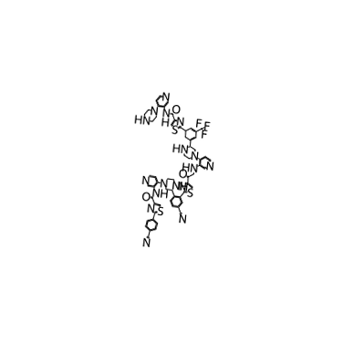 N#Cc1ccc(-c2nc(C(=O)Nc3cnccc3N3CCNC(c4ccc(C#N)cc4-c4nc(C(=O)CNc5cnccc5N5CCNC(C6=CC(C(F)(F)F)=CC(c7nc(C(=O)Nc8cnccc8N8CCNCC8)cs7)C6)C5)cs4)C3)cs2)cc1